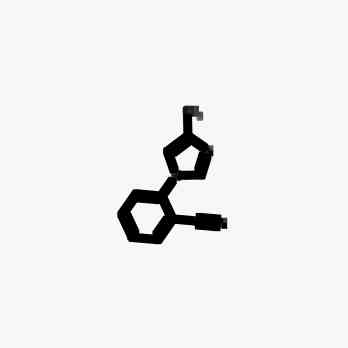 Cc1cn(-c2cc[c]cc2C#N)cn1